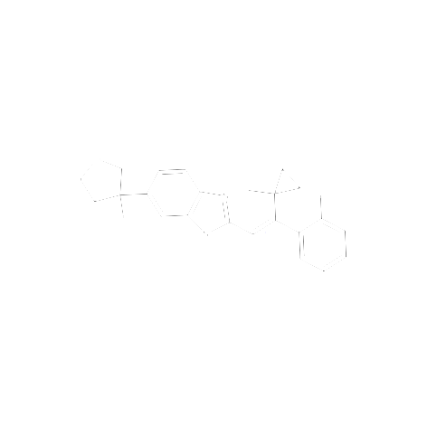 CC1(/C(=C\c2nc3ccc(C4(C=O)CCOC4)cc3[nH]2)c2ccccc2Cl)CC1